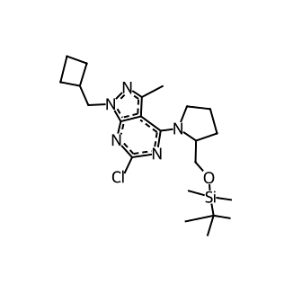 Cc1nn(CC2CCC2)c2nc(Cl)nc(N3CCCC3CO[Si](C)(C)C(C)(C)C)c12